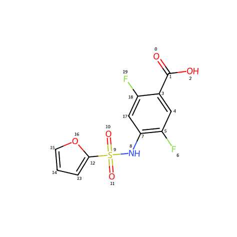 O=C(O)c1cc(F)c(NS(=O)(=O)c2ccco2)cc1F